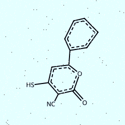 N#Cc1c(S)cc(-c2ccccc2)oc1=O